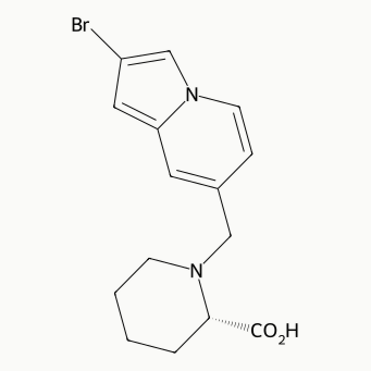 O=C(O)[C@@H]1CCCCN1Cc1ccn2cc(Br)cc2c1